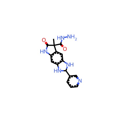 CC1(C(=O)NN)C(=O)Nc2cc3c(cc21)NC(c1cccnc1)N3